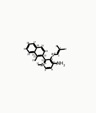 CC(C)=CSc1c(N)cc[n+](C)c1-c1ccc2ccccc2c1C